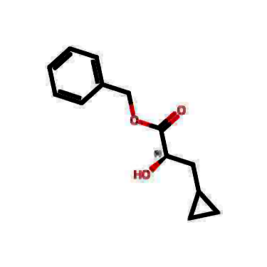 O=C(OCc1ccccc1)[C@H](O)CC1CC1